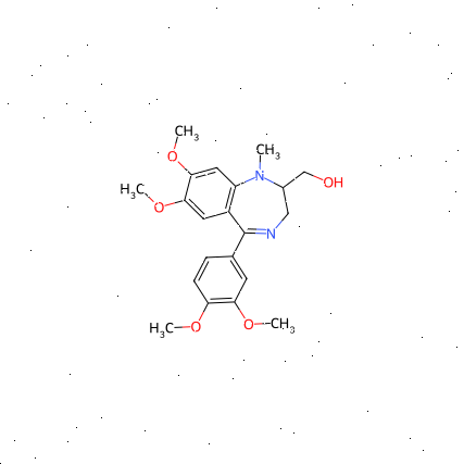 COc1ccc(C2=NCC(CO)N(C)c3cc(OC)c(OC)cc32)cc1OC